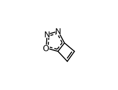 C1=Cc2onnc21